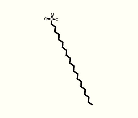 [CH2]CCCCCCCCCCCCCCCCCCCCC[Si](Cl)(Cl)Cl